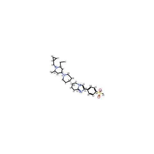 CCC1CC(N2CCC([C@H]3CCc4nc(-c5ccc(S(C)(=O)=O)cc5)cn4C3)CC2)CC(C)N1CC1CC1